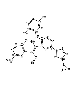 CCON=C1c2cc(-c3cnn(C4CC4)c3)ccc2C(c2cc(F)ccc2Cl)N1Cc1ccc(OC)cc1